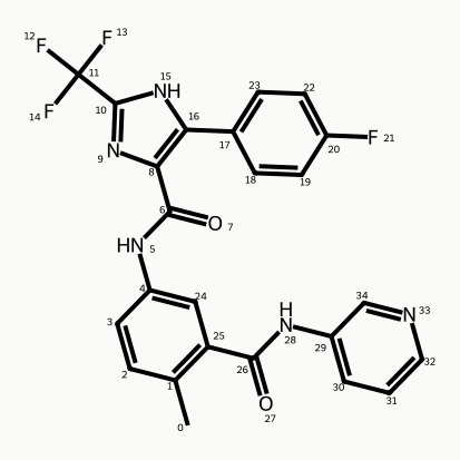 Cc1ccc(NC(=O)c2nc(C(F)(F)F)[nH]c2-c2ccc(F)cc2)cc1C(=O)Nc1cccnc1